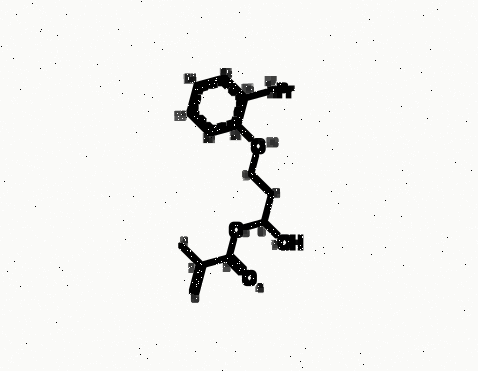 C=C(C)C(=O)OC(O)CCOc1ccccc1CCC